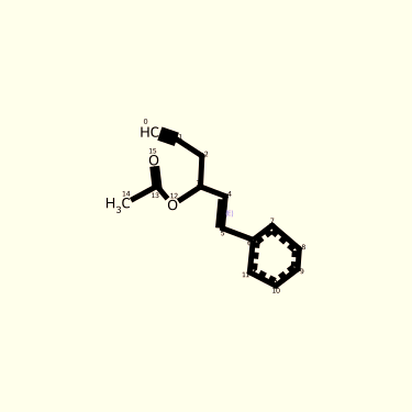 C#CCC(/C=C/c1ccccc1)OC(C)=O